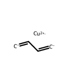 [CH-]=CC=[CH-].[Cu+2]